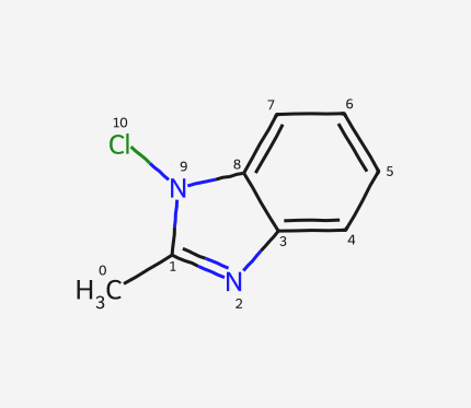 Cc1nc2ccccc2n1Cl